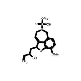 C=CC(O)CC1Oc2c(OC)ccc3c2C1=CCN(P(=O)(O)OC)C3